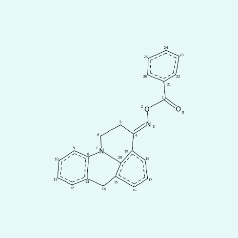 O=C(O/N=C1\CCN2c3ccccc3Cc3cccc1c32)c1ccccc1